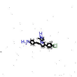 CC1CCCN1.Nc1ccc(C#Cc2ccc(-c3ccc(Cl)cc3)cn2)cc1